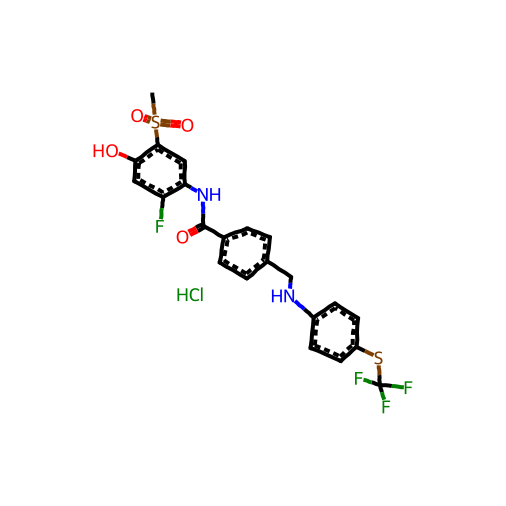 CS(=O)(=O)c1cc(NC(=O)c2ccc(CNc3ccc(SC(F)(F)F)cc3)cc2)c(F)cc1O.Cl